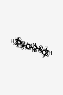 CC1(C)CC(OC(=O)c2cnc(C3CCC(C(=O)OC4CC(C)(C)NC(C)(C)C4)CC3)nc2)CC(C)(C)N1